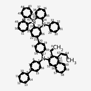 C=Cc1c(N(c2ccc(-c3ccccc3)cc2)c2ccc(-c3ccc4c(c3)N(c3ccccc3)c3ccccc3[Si]4(c3ccccc3)c3ccccc3)cc2)cc2ccccc2c1/C=C\C